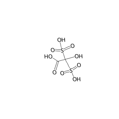 O=C(O)C(O)(S(=O)(=O)O)S(=O)(=O)O